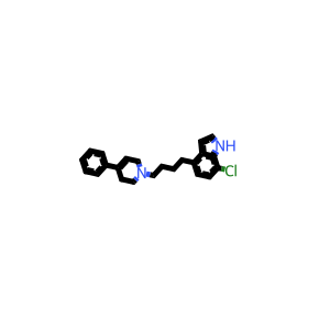 Clc1ccc(CCCCN2CC=C(c3ccccc3)CC2)c2cc[nH]c12